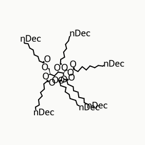 CCCCCCCCCCCCCCCCCC(=O)OC[C@H](OC(=O)CCCCCCCCCCCCCCCCC)[C@@H](OC(=O)CCCCCCCCCCCCCCCCC)[C@H](OC(=O)CCCCCCCCCCCCCCCCC)[C@@H](COC(=O)CCCCCCCCCCCCCCCCC)OC(=O)CCCCCCCCCCCCCCCCC